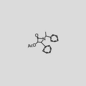 CC(=O)OC1C(=O)N(C(C)c2ccccc2)C1c1ccccc1